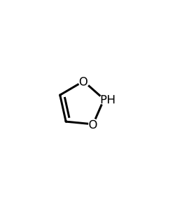 C1=COPO1